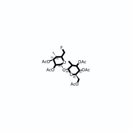 CC(=O)OC[C@H]1O[C@H](O[C@H]2OC(CF)[C@@H](C)[C@H](OC(C)=O)C2OC(C)=O)C(C)C(OC(C)=O)[C@@H]1OC(C)=O